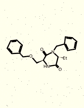 CC[C@@H]1C(=O)N[C@@H](COCc2ccccc2)C(=O)N1Cc1ccccc1